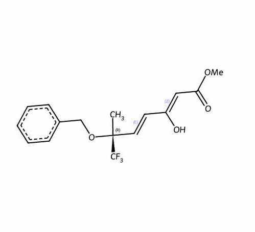 COC(=O)/C=C(O)/C=C/[C@@](C)(OCc1ccccc1)C(F)(F)F